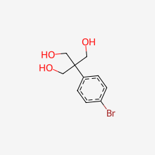 OCC(CO)(CO)c1ccc(Br)cc1